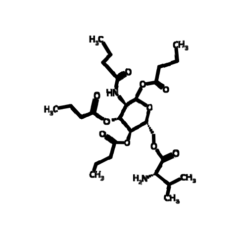 CCCC(=O)N[C@H]1C(OC(=O)CCC)O[C@H](COC(=O)[C@@H](N)C(C)C)[C@@H](OC(=O)CCC)[C@@H]1OC(=O)CCC